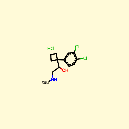 CC(C)(C)NCC(O)C1(c2ccc(Cl)c(Cl)c2)CCC1.Cl